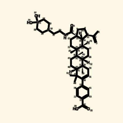 C=C(C)[C@@H]1CC[C@]2(C(=O)NCCN3CCS(O)(O)CC3)CC[C@]3(C)[C@H](CC[C@@H]4[C@@]5(C)CC=C(c6ccc(C(=O)O)cc6)C(C)(C)[C@@H]5CC[C@]43C)[C@@H]12